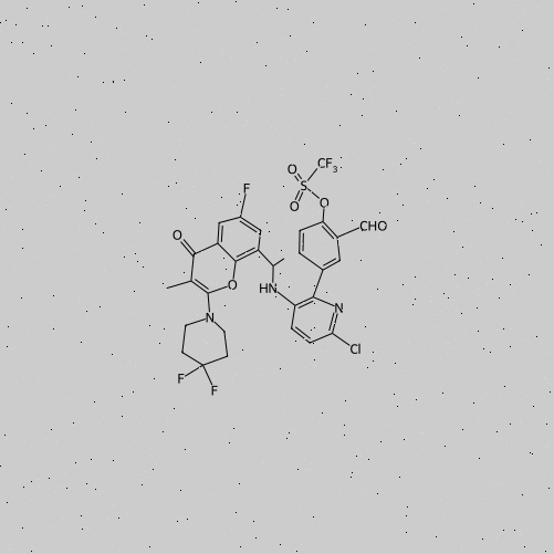 Cc1c(N2CCC(F)(F)CC2)oc2c(C(C)Nc3ccc(Cl)nc3-c3ccc(OS(=O)(=O)C(F)(F)F)c(C=O)c3)cc(F)cc2c1=O